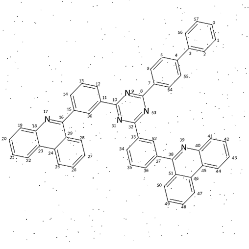 c1ccc(-c2ccc(-c3nc(-c4cccc(-c5nc6ccccc6c6ccccc56)c4)nc(-c4cccc(-c5nc6ccccc6c6ccccc56)c4)n3)cc2)cc1